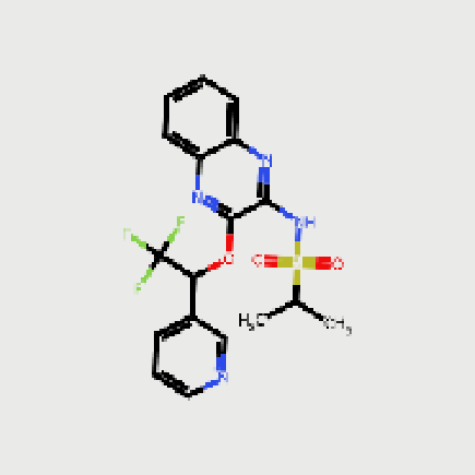 CC(C)S(=O)(=O)Nc1nc2ccccc2nc1OC(c1cccnc1)C(F)(F)F